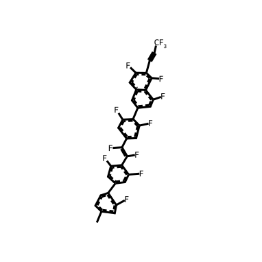 Cc1ccc(-c2cc(F)c(/C(F)=C(\F)c3cc(F)c(-c4cc(F)c5c(F)c(C#CC(F)(F)F)c(F)cc5c4)c(F)c3)c(F)c2)c(F)c1